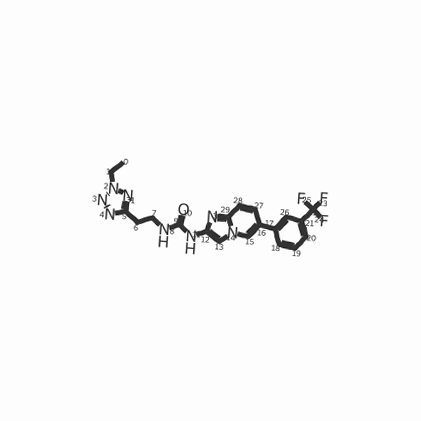 CCn1nnc(CCNC(=O)Nc2cn3cc(-c4cccc(C(F)(F)F)c4)ccc3n2)n1